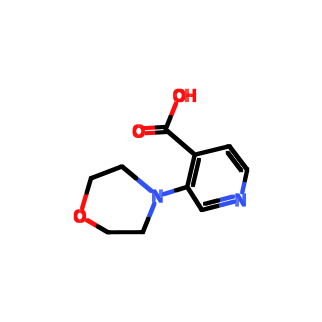 O=C(O)c1ccncc1N1CCOCC1